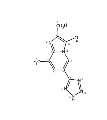 O=C(O)c1nc2c(C(F)(F)F)cc(-c3nn[nH]n3)cn2c1Cl